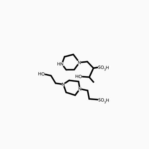 CC(O)C(CN1CCNCC1)S(=O)(=O)O.O=S(=O)(O)CCN1CCN(CCO)CC1